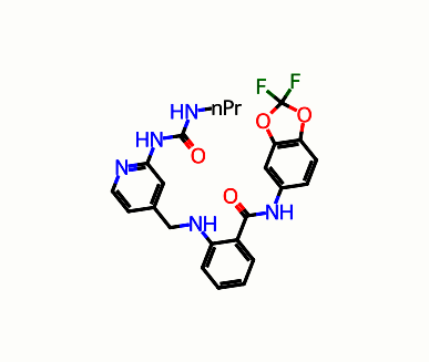 CCCNC(=O)Nc1cc(CNc2ccccc2C(=O)Nc2ccc3c(c2)OC(F)(F)O3)ccn1